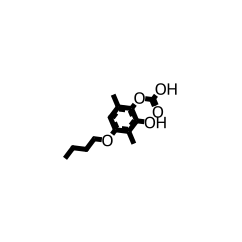 CCCCOc1cc(C)c(OC(=O)O)c(O)c1C